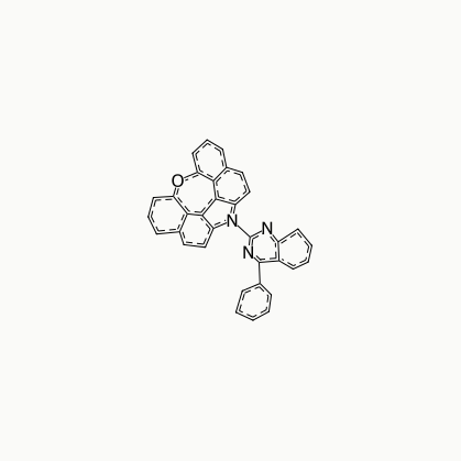 c1ccc(-c2nc(-n3c4ccc5cccc6oc7cccc8ccc3c(c87)c4c56)nc3ccccc23)cc1